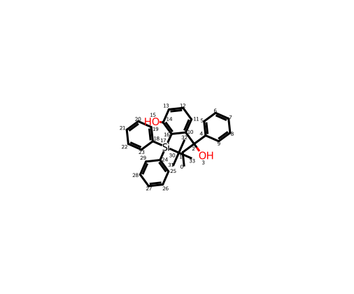 CCC(O)(c1ccccc1)c1cccc(O)c1[Si](c1ccccc1)(c1ccccc1)C(C)(C)C